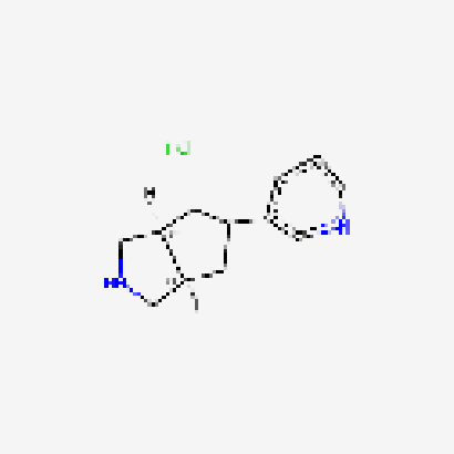 Cl.c1cncc(C2C[C@H]3CNC[C@H]3C2)c1